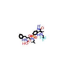 CC(NCC(F)(F)F)=C1C(=O)Nc2ccc(S(=O)(=O)N(CC(C)C)CC(O)C(Cc3ccccc3)NC(=O)O)cc21